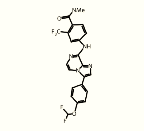 CNC(=O)c1ccc(Nc2nccn3c(-c4ccc(OC(F)F)cc4)cnc23)cc1C(F)(F)F